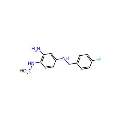 Nc1cc(NCc2ccc(F)cc2)ccc1NC(=O)O